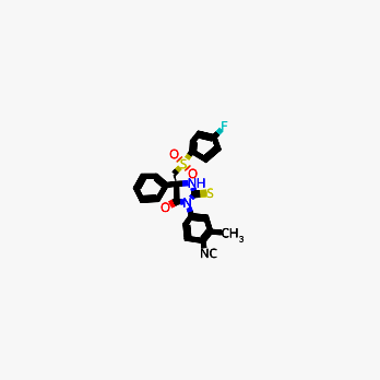 [C-]#[N+]c1ccc(N2C(=O)[C@@](CS(=O)(=O)c3ccc(F)cc3)(c3ccccc3)NC2=S)cc1C